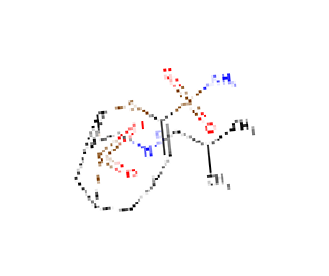 CC(C)CN1CC2=C3S/C(S(N)(=O)=O)=C\C1CC(C2)S3(=O)=O